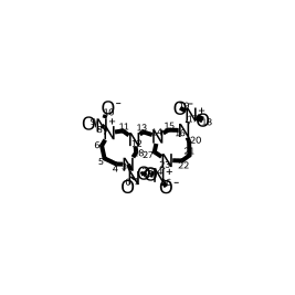 O=[N+]([O-])N1CCCN([N+](=O)[O-])CN(CN2CN([N+](=O)[O-])CCCN([N+](=O)[O-])C2)C1